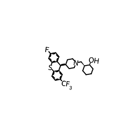 O[C@H]1CCCC[C@H]1CN1CCC(=C2c3ccc(F)cc3Sc3ccc(C(F)(F)F)cc32)CC1